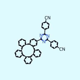 N#Cc1ccc(-c2nc(-c3ccc(C#N)cc3)nc(-c3ccc4c5ccccc5c5ccccc5c5ccccc5c5ccccc5c4c3)n2)cc1